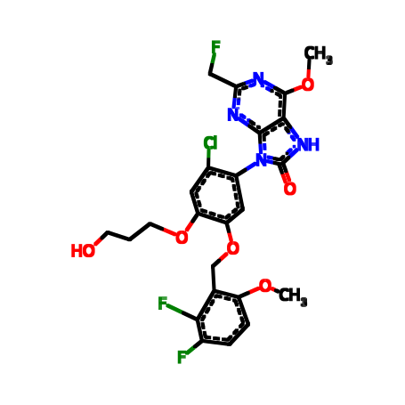 COc1ccc(F)c(F)c1COc1cc(-n2c(=O)[nH]c3c(OC)nc(CF)nc32)c(Cl)cc1OCCCO